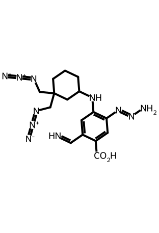 [N-]=[N+]=NCC1(CN=[N+]=[N-])CCCC(Nc2cc(C=N)c(C(=O)O)cc2N=NN)C1